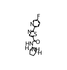 O=C(N[C@@H]1C[C@H]2CC[C@@H]1N2)c1cnc(-c2ccc(F)cn2)s1